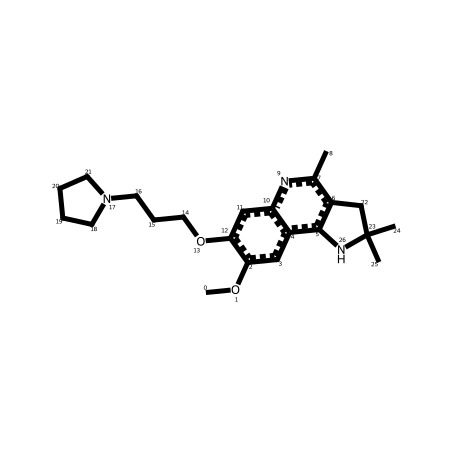 COc1cc2c3c(c(C)nc2cc1OCCCN1CCCC1)CC(C)(C)N3